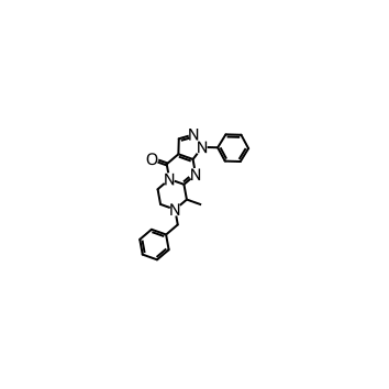 CC1c2nc3c(cnn3-c3ccccc3)c(=O)n2CCN1Cc1ccccc1